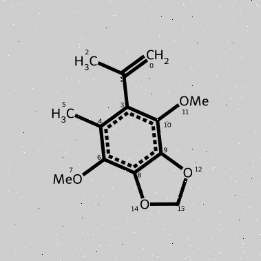 C=C(C)c1c(C)c(OC)c2c(c1OC)OCO2